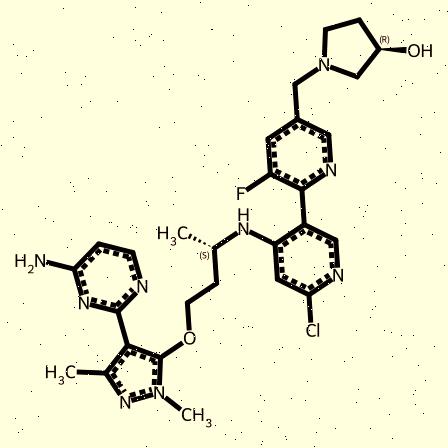 Cc1nn(C)c(OCC[C@H](C)Nc2cc(Cl)ncc2-c2ncc(CN3CC[C@@H](O)C3)cc2F)c1-c1nccc(N)n1